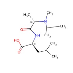 CC(C)C[C@H](NC(=O)[C@H](C)N(C)C(C)C)C(=O)O